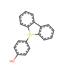 Oc1ccc([SH]2c3ccccc3-c3ccccc32)cc1